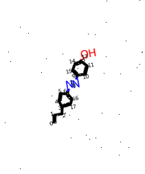 C=C[CH]c1ccc(N=Nc2ccc(O)cc2)cc1